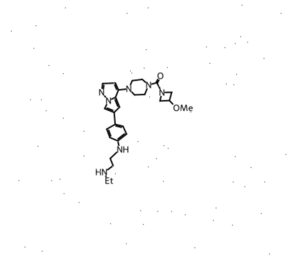 CCNCCNc1ccc(-c2cc3c(N4CCN(C(=O)N5CC(OC)C5)CC4)ccnn3c2)cc1